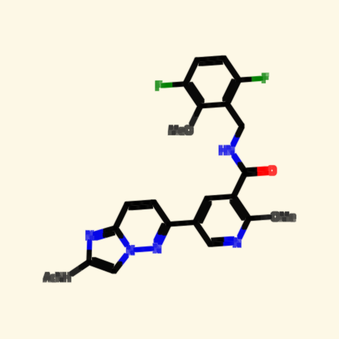 COc1ncc(-c2ccc3nc(NC(C)=O)cn3n2)cc1C(=O)NCc1c(F)ccc(F)c1OC